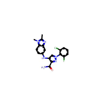 Cc1nc2cc(Nc3cn(-c4c(F)cccc4Cl)nc3C(N)=O)ccc2n1C